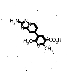 Cc1nc(C)c(-c2ccn3nc(N)nc3c2)cc1C(=O)O